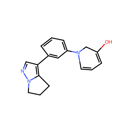 OC1=CC=CN(c2cccc(-c3cnn4c3CCC4)c2)C1